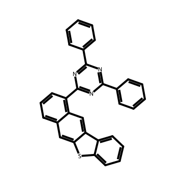 c1ccc(-c2nc(-c3ccccc3)nc(-c3cccc4cc5sc6ccccc6c5cc34)n2)cc1